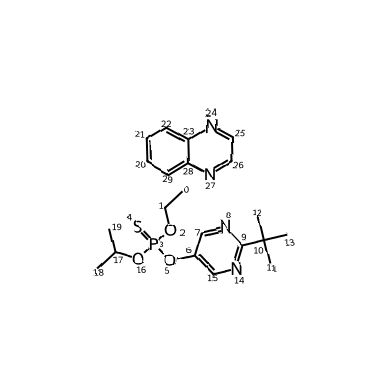 CCOP(=S)(Oc1cnc(C(C)(C)C)nc1)OC(C)C.c1ccc2nccnc2c1